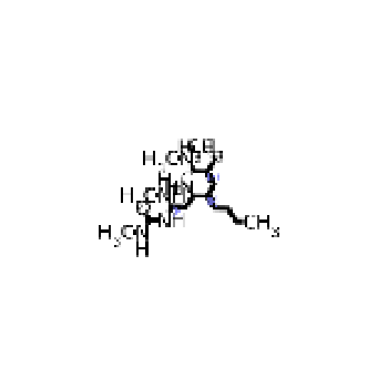 C=C(/C(=C\C(=C/CCC)C(=N)/C=C(\NC)NC(=O)NC)CC)N(C)C